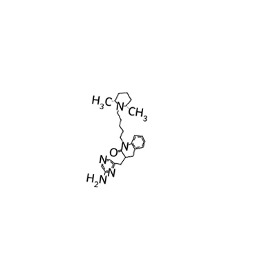 C[C@@H]1CCC[C@H](C)N1CCCCCN1C(=O)C(Cc2cncc(N)n2)Cc2ccccc21